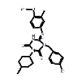 Cc1cc(/N=c2\[nH]c(=O)n(C3CCC(C)CC3)c(=O)n2Cc2ccc(Cl)cc2)ccc1OC(C)C